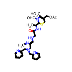 C=N/C(=C\NCC(=O)NC(C)C1SCC(COC(C)=O)=C(C(=O)O)N1C=O)CN(Cc1ccccn1)Cc1ccccn1